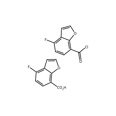 O=C(Cl)c1ccc(F)c2ccoc12.O=C(O)c1ccc(F)c2ccoc12